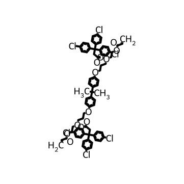 C=CC(=O)OCCOCC(COc1ccc(C(C)(C)c2ccc(OCC(COCCOC(=O)C=C)OC(=O)CC(c3ccc(Cl)cc3)(c3ccc(Cl)cc3)c3ccc(Cl)cc3)cc2)cc1)OC(=O)CC(c1ccc(Cl)cc1)(c1ccc(Cl)cc1)c1ccc(Cl)cc1